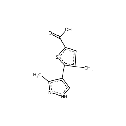 Cc1cc(C(=O)O)sc1-c1c[nH]nc1C